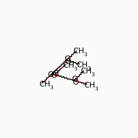 CCCCCCCCCOC(C=CCCCCCCCCCCCC(OCCCCCCCC)OCCCCCCCC)OC(C=CCCCCCCCCCCCC(OCCCCCCCC)OCCCCCCCC)OCCCCCCCCC